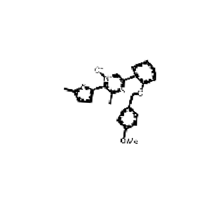 COc1ccc(COc2ccccc2-c2c[n+]([O-])c(-c3ccc(C)s3)c(C)n2)cc1